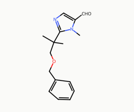 Cn1c(C=O)cnc1C(C)(C)COCc1ccccc1